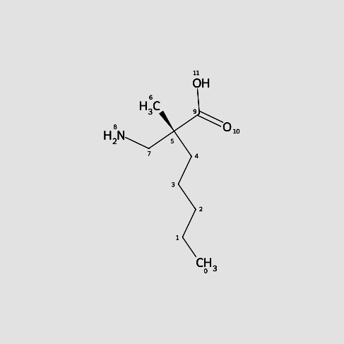 CCCCC[C@](C)(CN)C(=O)O